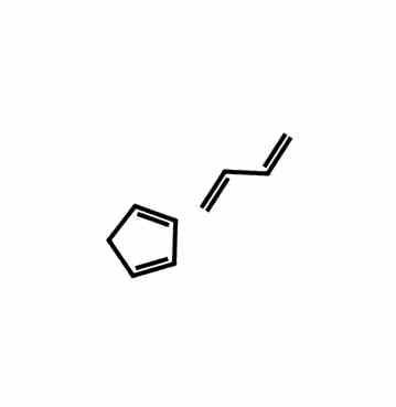 C1=CCC=C1.C=CC=C